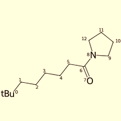 CC(C)(C)CCCCCC(=O)N1CCCC1